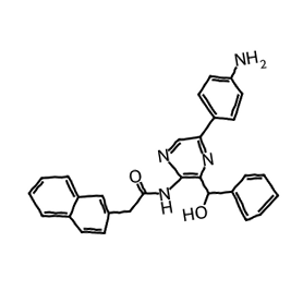 Nc1ccc(-c2cnc(NC(=O)Cc3ccc4ccccc4c3)c(C(O)c3ccccc3)n2)cc1